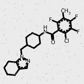 Cc1c(F)c(F)c(Cl)c(C(=O)NC2CCC(Cn3ncc4c3CCCC4)CC2)c1F